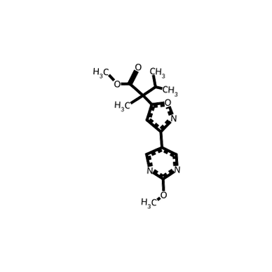 COC(=O)C(C)(c1cc(-c2cnc(OC)nc2)no1)C(C)C